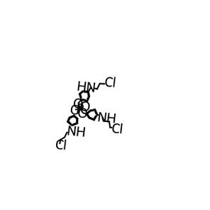 O=P(Oc1ccc(NCCCCl)cc1)(Oc1ccc(NCCCCl)cc1)Oc1ccc(NCCCCl)cc1